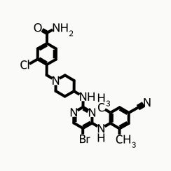 Cc1cc(C#N)cc(C)c1Nc1nc(NC2CCN(Cc3ccc(C(N)=O)cc3Cl)CC2)ncc1Br